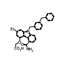 CCc1cc(OCC(=O)O)c2c3c(C(N)=O)cccc3n(Cc3cccc(Cc4ccccc4)c3)c2c1